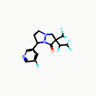 O=C1N2C(c3cncc(F)c3)CCN2CC1(C(F)F)C(F)C(F)F